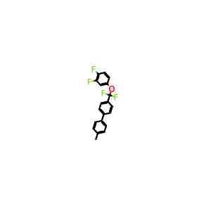 Cc1ccc(-c2ccc(C(F)(F)Oc3ccc(F)c(F)c3)cc2)cc1